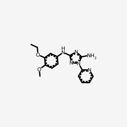 CCOc1cc(Nc2nc(N)n(-c3ccccn3)n2)ccc1OC